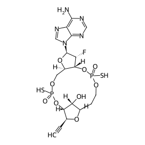 C#C[C@@H]1O[C@@H]2CCOP(=O)(S)O[C@H]3[C@@H](F)[C@H](n4cnc5c(N)ncnc54)O[C@@H]3COP(=O)(S)O[C@@H]1[C@@H]2O